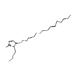 CCCCCCCCCCCCCCCCN1C=CN(C)C1CCCC